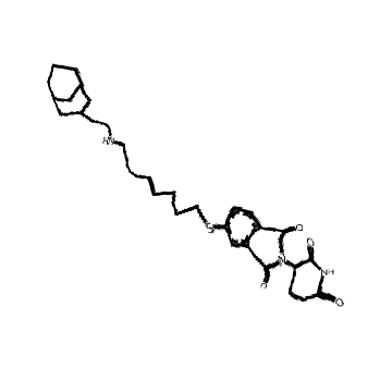 O=C1CCC(N2C(=O)c3ccc(SCCCCCCCNCCC4CC5CCCC(C5)C4)cc3C2=O)C(=O)N1